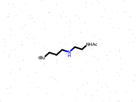 CC(=O)NCCNCCCC(C)(C)C